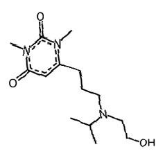 CC(C)N(CCO)CCCc1cc(=O)n(C)c(=O)n1C